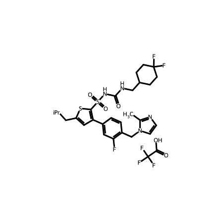 Cc1nccn1Cc1ccc(-c2cc(CC(C)C)sc2S(=O)(=O)NC(=O)NCC2CCC(F)(F)CC2)cc1F.O=C(O)C(F)(F)F